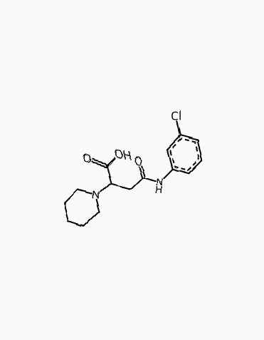 O=C(CC(C(=O)O)N1CCCCC1)Nc1cccc(Cl)c1